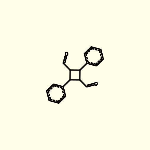 O=CC1C(c2ccccc2)C(C=O)C1c1ccccc1